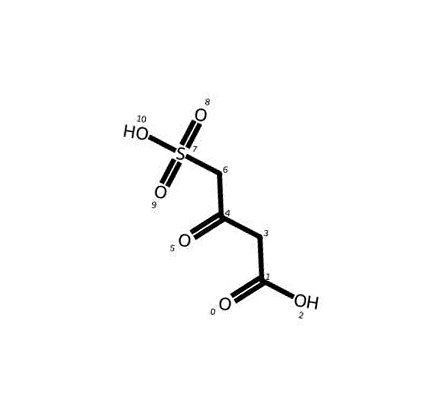 O=C(O)CC(=O)CS(=O)(=O)O